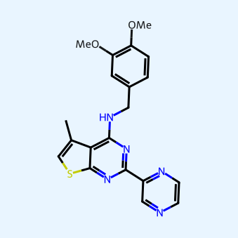 COc1ccc(CNc2nc(-c3cnccn3)nc3scc(C)c23)cc1OC